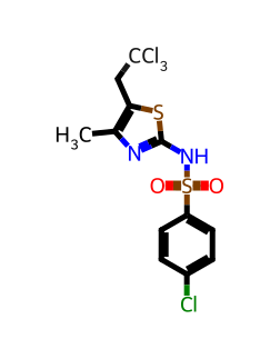 Cc1nc(NS(=O)(=O)c2ccc(Cl)cc2)sc1CC(Cl)(Cl)Cl